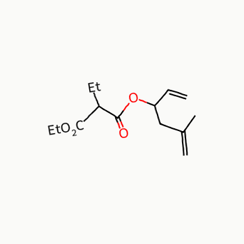 C=CC(CC(=C)C)OC(=O)C(CC)C(=O)OCC